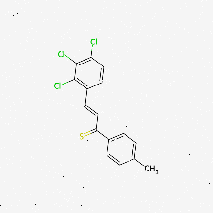 Cc1ccc(C(=S)C=Cc2ccc(Cl)c(Cl)c2Cl)cc1